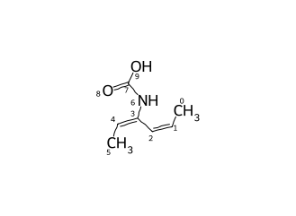 C/C=C\C(=C/C)NC(=O)O